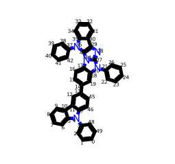 c1ccc(-n2c3ccccc3c3cc(-c4ccc5c(c4)n(-c4ccccc4)c4nc6c7ccccc7n(-c7ccccc7)c6n54)ccc32)cc1